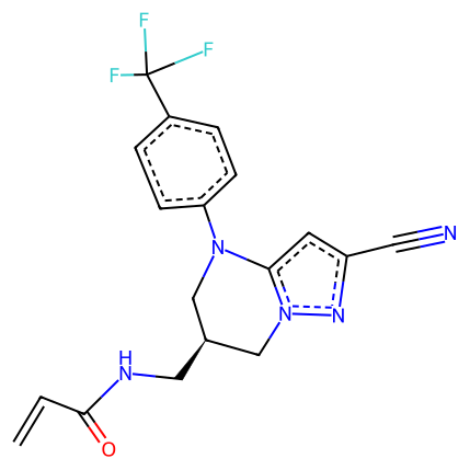 C=CC(=O)NC[C@H]1CN(c2ccc(C(F)(F)F)cc2)c2cc(C#N)nn2C1